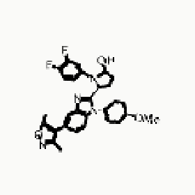 CO[C@H]1CC[C@H](n2c([C@@H]3CCC(O)N3c3ccc(F)c(F)c3)nc3cc(-c4c(C)noc4C)ccc32)CC1